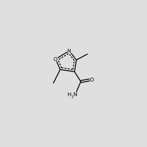 Cc1noc(C)c1C(N)=O